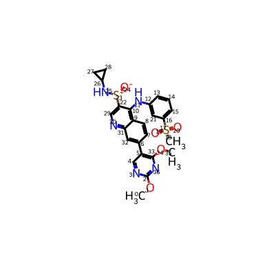 COc1ncc(-c2ccc3c(Nc4cccc(S(C)(=O)=O)c4)c([S+]([O-])NC4CC4)cnc3c2)c(OC)n1